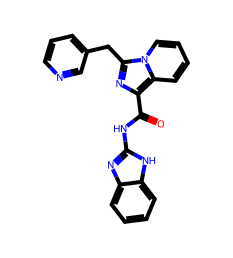 O=C(Nc1nc2ccccc2[nH]1)c1nc(Cc2cccnc2)n2ccccc12